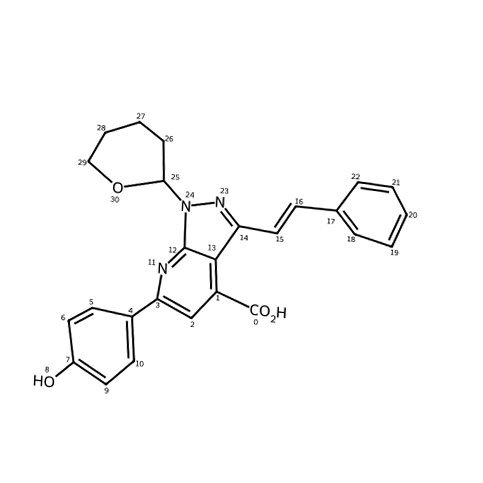 O=C(O)c1cc(-c2ccc(O)cc2)nc2c1c(C=Cc1ccccc1)nn2C1CCCCO1